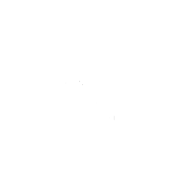 COC(=O)/C=C/n1c(C)cc(-c2ccccc2C(=O)O)cc1=O